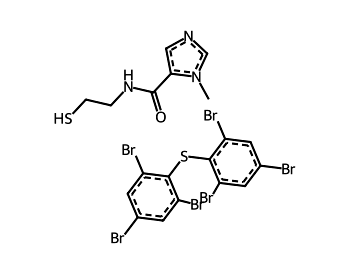 Brc1cc(Br)c(Sc2c(Br)cc(Br)cc2Br)c(Br)c1.Cn1cncc1C(=O)NCCS